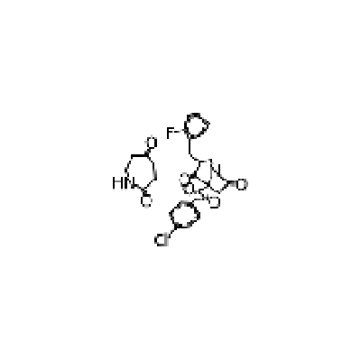 O=C1CC2(S(=O)(=O)c3ccc(Cl)cc3)C(=O)C(Cc3ccccc3F)CN12.O=C1CCNC(=O)CC1